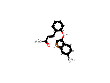 COC(=O)C=Cc1ccccc1Oc1csc2cc(OC)ccc12